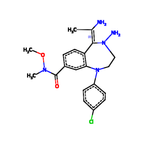 CON(C)C(=O)c1ccc2c(c1)N(c1ccc(Cl)cc1)CCN(N)/C2=C(/C)N